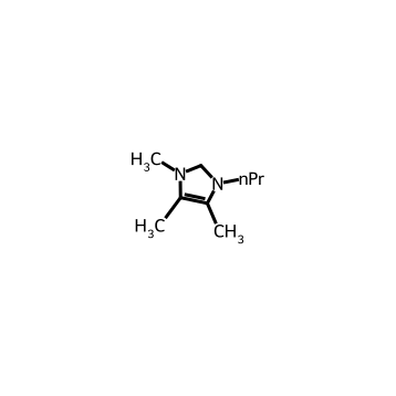 CCCN1CN(C)C(C)=C1C